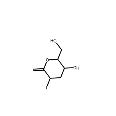 C=C1OC(CO)C(O)CC1I